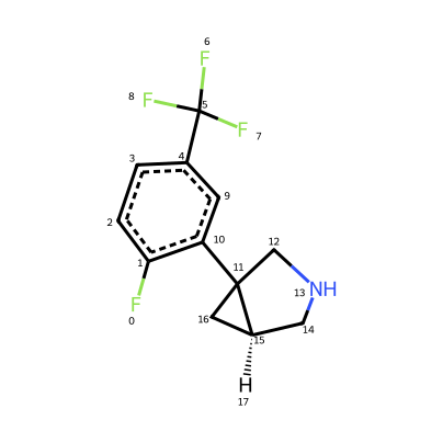 Fc1ccc(C(F)(F)F)cc1C12CNC[C@H]1C2